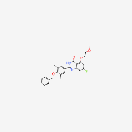 COCCOc1cc(F)cc2nc(-c3cc(C)c(OCc4ccccc4)c(C)c3)[nH]c(=O)c12